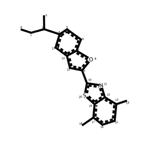 CCC(C)c1ccc2oc(-c3nc4c(C)ccc(C)c4s3)cc2c1